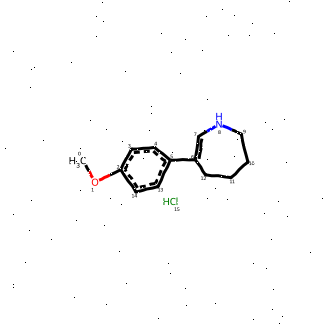 COc1ccc(C2=CNCCCC2)cc1.Cl